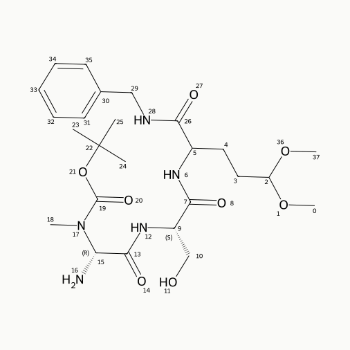 COC(CCC(NC(=O)[C@H](CO)NC(=O)[C@H](N)N(C)C(=O)OC(C)(C)C)C(=O)NCc1ccccc1)OC